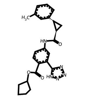 Cc1cccc([C@@H]2C[C@H]2C(=O)Nc2ccc(C(=O)OC3CCCC3)c(-c3nnn[nH]3)c2)c1